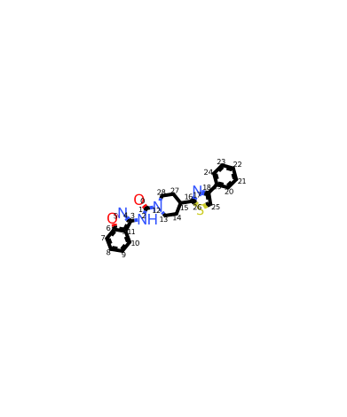 O=C(Nc1noc2ccccc12)N1CCC(c2nc(-c3ccccc3)cs2)CC1